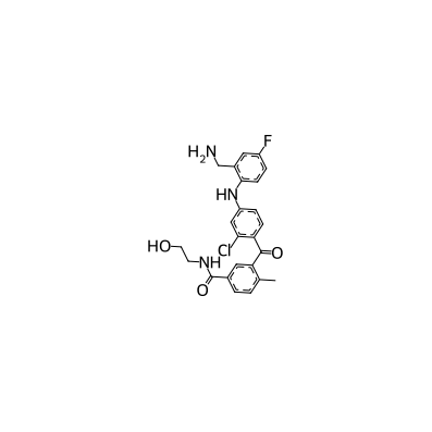 Cc1ccc(C(=O)NCCO)cc1C(=O)c1ccc(Nc2ccc(F)cc2CN)cc1Cl